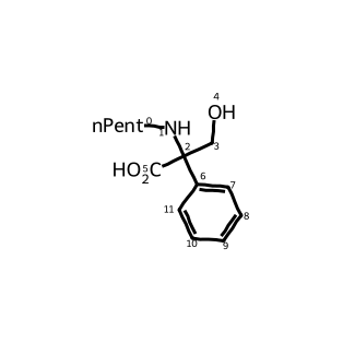 CCCCCNC(CO)(C(=O)O)c1ccccc1